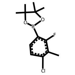 Cc1c(Cl)ccc(B2OC(C)(C)C(C)(C)O2)c1F